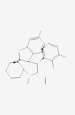 CN1[C@@H](CCl)[C@H](c2cccc(Cl)c2F)[C@]2(C(=O)Nc3cc(Cl)ccc32)C12CCCCC2